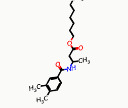 CCCCCCCOC(=O)CC(C)NC(=O)c1ccc(C)c(C)c1